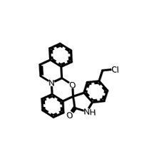 O=C1Nc2ccc(CCl)cc2C12OC1c3ccccc3C=CN1c1ccccc12